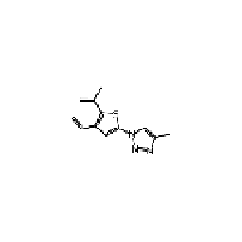 C=Cc1cc(-n2cc(C)nn2)sc1C(=C)C